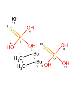 CCC(C)C.CCC(C)C.OP(O)(O)=S.OP(O)(O)=S.[KH]